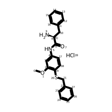 COc1cc(NC(=O)[C@@H](N)Cc2ccccc2)ccc1SCc1ccccc1.Cl